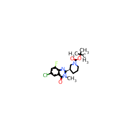 Cn1c([C@@H]2CCCN(C(=O)OC(C)(C)C)C2)nc2c(F)cc(Cl)cc2c1=O